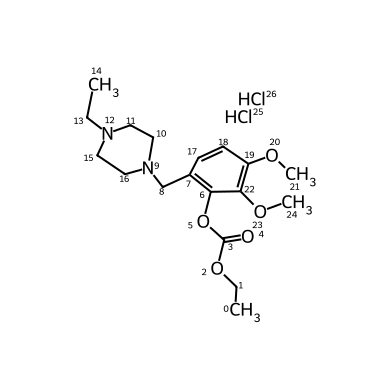 CCOC(=O)Oc1c(CN2CCN(CC)CC2)ccc(OC)c1OC.Cl.Cl